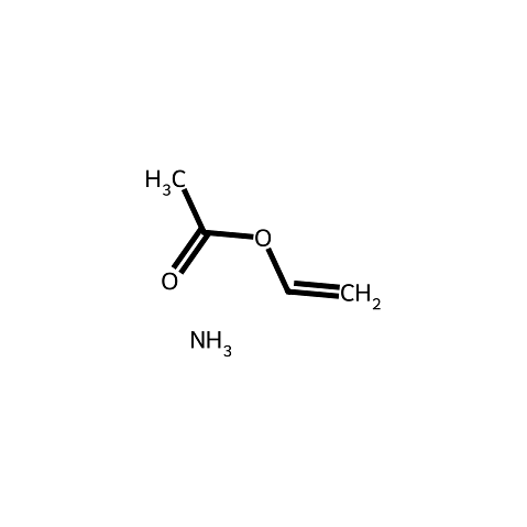 C=COC(C)=O.N